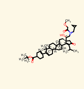 COCC(=O)N(CC1CC1)C[C@H](O)[C@@]12CC[C@]3(C)[C@H](CC[C@@H]4[C@@]5(C)CC=C(C6=CCC(C(=O)OC(C)(C)C)CC6)C(C)(C)[C@@H]5CC[C@]43C)C1=C(C(C)C)C(=O)C2